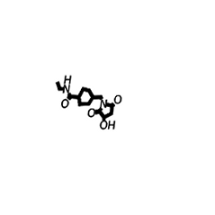 CCNC(=O)C1CCC(CN2C(=O)CC(O)C2=O)CC1